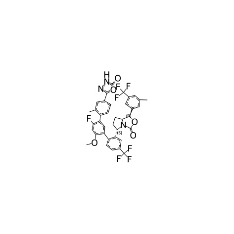 COc1cc(F)c(-c2ccc(-c3n[nH]c(=O)o3)cc2C)cc1-c1ccc(C(F)(F)F)cc1[C@@H]1CCC2[C@@H](c3cc(C)cc(C(F)(F)F)c3)OC(=O)N21